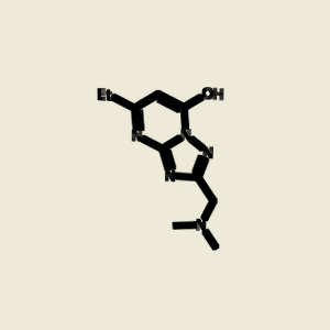 CCc1cc(O)n2nc(CN(C)C)nc2n1